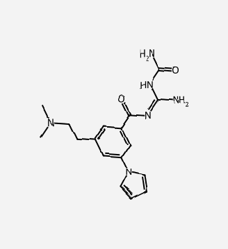 CN(C)CCc1cc(C(=O)N=C(N)NC(N)=O)cc(-n2cccc2)c1